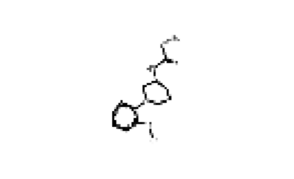 CC(C)(C)OC(=O)N[C@H]1CCCN(c2ccccc2SC#N)C1